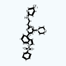 O=S(=O)(c1ccccc1)n1ccc2c(-c3cc(N4CCOCC4)nc(CCNc4ccc(C(F)(F)F)cn4)n3)cccc21